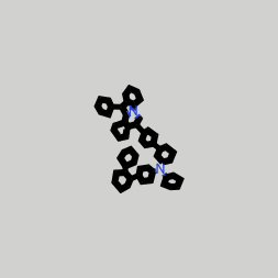 c1ccc(-c2ccccc2-c2ccc(N(c3ccccc3)c3cccc(-c4ccc(-c5cn6c7ccccc7c(-c7ccccc7)c6c6ccccc56)cc4)c3)cc2)cc1